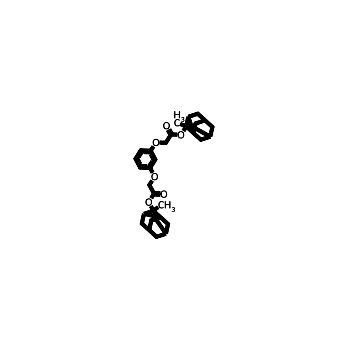 CC1(OC(=O)COc2cccc(OCC(=O)OC3(C)C4CC5CC(C4)CC3C5)c2)C2CC3CC(C2)CC1C3